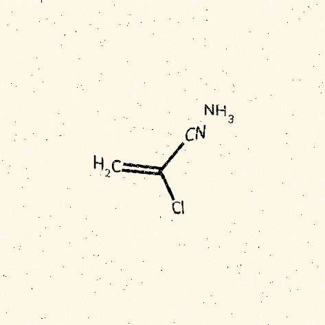 C=C(Cl)C#N.N